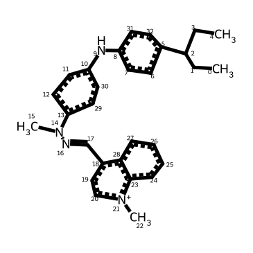 CCC(CC)c1ccc(Nc2ccc(N(C)/N=C/c3cc[n+](C)c4ccccc34)cc2)cc1